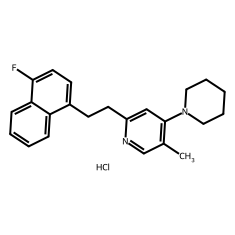 Cc1cnc(CCc2ccc(F)c3ccccc23)cc1N1CCCCC1.Cl